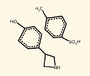 Cc1ccc(S(=O)(=O)O)cc1.Oc1ccc(C2CNC2)cc1